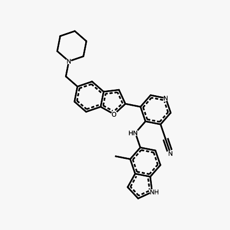 Cc1c(Nc2c(C#N)cncc2-c2cc3cc(CN4CCCCC4)ccc3o2)ccc2[nH]ccc12